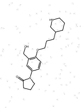 O=C1CCCN1c1ccc(OCCCC2CCCNC2)c(CO)c1